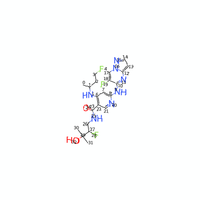 CC(CCF)Nc1cc(Nc2nc3ccnn3cc2F)ncc1C(=O)NC[C@@H](F)C(C)(C)O